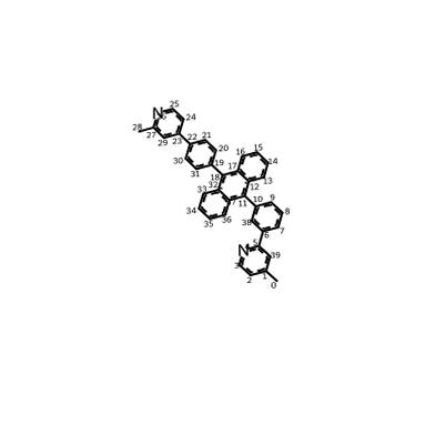 Cc1ccnc(-c2cccc(-c3c4ccccc4c(-c4ccc(-c5ccnc(C)c5)cc4)c4ccccc34)c2)c1